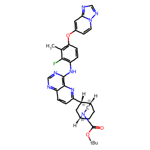 Cc1c(Oc2ccn3ncnc3c2)ccc(Nc2ncnc3ccc([C@H]4C[C@H]5CC[C@@H]4CN5C(=O)OC(C)(C)C)nc23)c1F